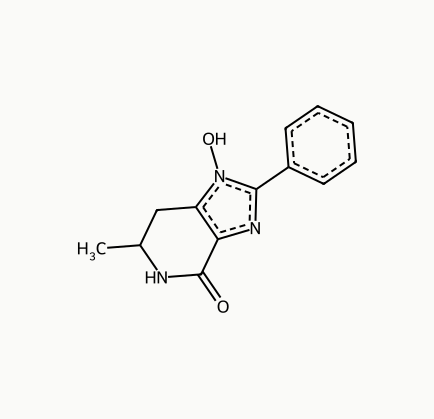 CC1Cc2c(nc(-c3ccccc3)n2O)C(=O)N1